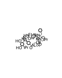 CCNC(=O)c1nnc(-c2cc(C(C)C)c(O)cc2O)n1-c1ccc(C(=O)N2CCC3(CC2)OB([C@H](CC(C)C)NC(=O)[C@H](Cc2ccccc2)NC(=O)c2cnccn2)OC3(C)C)cc1